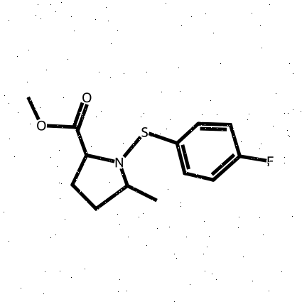 COC(=O)C1CCC(C)N1Sc1ccc(F)cc1